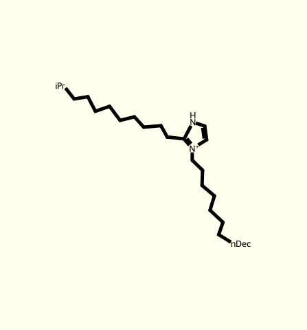 CCCCCCCCCCCCCCCCC[n+]1cc[nH]c1CCCCCCCCCC(C)C